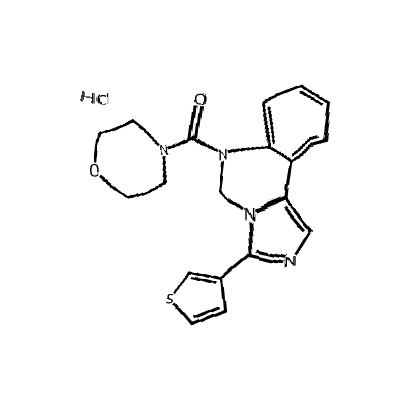 Cl.O=C(N1CCOCC1)N1Cn2c(cnc2-c2ccsc2)-c2ccccc21